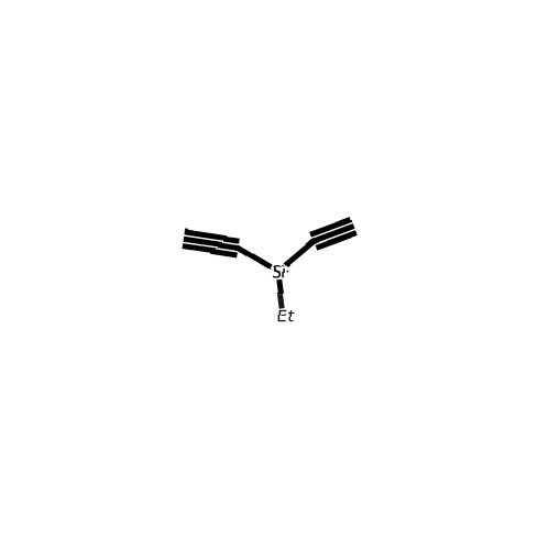 C#C[Si](C#C)CC